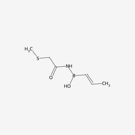 C/C=C/B(O)NC(=O)CSC